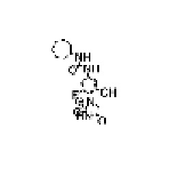 O=C1CN(c2c(O)cc(NC(=O)NC3CCCCCC3)cc2F)S(=O)(=O)N1